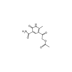 CC(=O)OCC(=O)c1cc(C(N)=O)c(=O)[nH]c1C